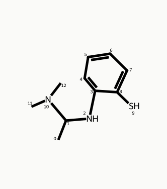 CC(Nc1ccccc1S)N(C)C